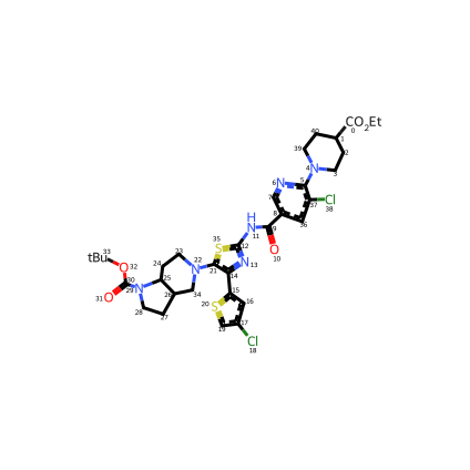 CCOC(=O)C1CCN(c2ncc(C(=O)Nc3nc(-c4cc(Cl)cs4)c(N4CCC5C(CCN5C(=O)OC(C)(C)C)C4)s3)cc2Cl)CC1